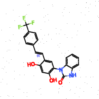 O=c1[nH]c2ccccc2n1-c1cc(/C=C/c2ccc(C(F)(F)F)cc2)c(O)cc1O